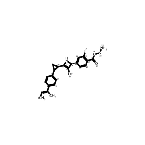 C/C=C(\C)c1ccc(C2CC2C2=C(O)[C@H](c3ccc(C(=O)OSN)c(F)c3)N2)cc1